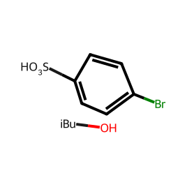 CCC(C)O.O=S(=O)(O)c1ccc(Br)cc1